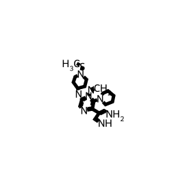 C=Nn1c(N2CCCCC2)c(/C(C=N)=C/N)nc/c1=N/C1CCN(SC)CC1